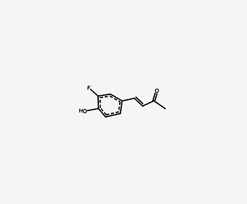 CC(=O)C=Cc1ccc(O)c(F)c1